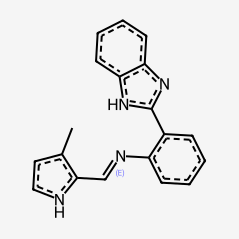 Cc1cc[nH]c1/C=N/c1ccccc1-c1nc2ccccc2[nH]1